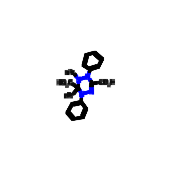 CCCN1N(c2ccccc2)C(C(=O)O)=NN(c2ccccc2)C1(CCC)C(=O)O